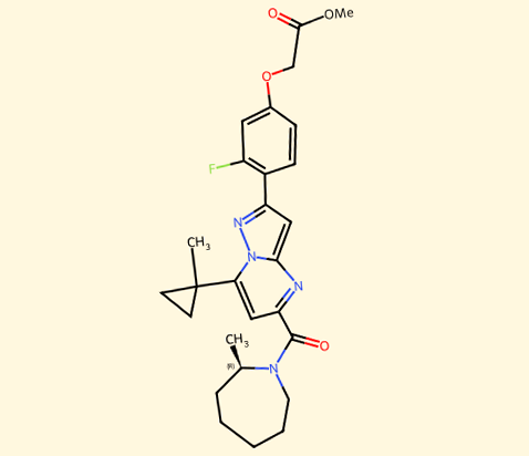 COC(=O)COc1ccc(-c2cc3nc(C(=O)N4CCCCC[C@H]4C)cc(C4(C)CC4)n3n2)c(F)c1